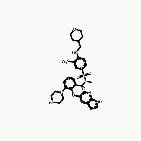 CN(C(=O)c1cccc(N2CCNCC2)c1Oc1cnc2[nH]ccc2c1)S(=O)(=O)c1ccc(NCC2CCOCC2)c([N+](=O)[O-])c1